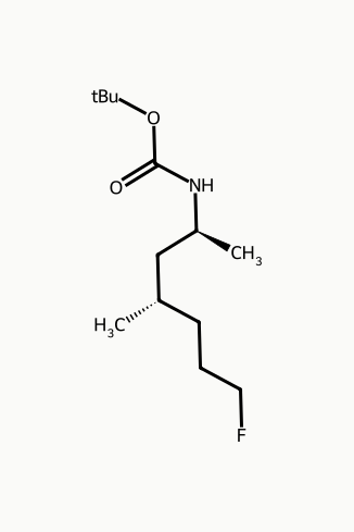 C[C@@H](CCCF)C[C@H](C)NC(=O)OC(C)(C)C